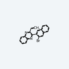 C=Cc1nc2ccccc2nc1-c1cc2ccccc2cc1Br